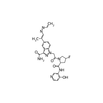 C=C/N=N\C=C(/C)c1ccc2c(c1)c(C(N)=O)nn2CC(=O)N1CC(F)CC1C(=O)Nc1cnccc1O